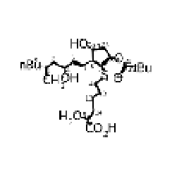 CCCC[C@@H](C)C[C@H](O)C=C[C@@H]1C(SCCCCC(C)C(=O)O)=C(OC(=O)C(C)(C)C)C[C@H]1O